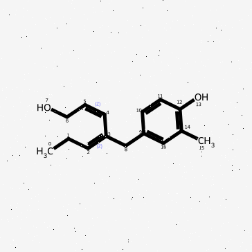 CC/C=C(\C=C/CO)Cc1ccc(O)c(C)c1